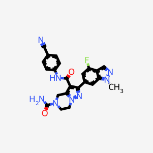 Cn1ncc2c(F)cc(-c3nn4c(c3C(=O)Nc3ccc(C#N)cc3)CN(C(N)=O)CC4)cc21